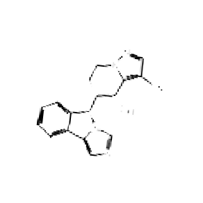 N#Cc1cnn2c1[C@H](O)[C@H]([C@@H]1c3ccccc3-c3cncn31)CC2